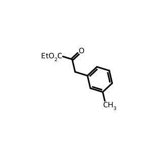 CCOC(=O)C(=O)Cc1cccc(C)c1